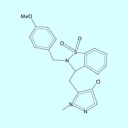 COc1ccc(CN2C(Cc3c(Cl)cnn3C)c3ccccc3S2(=O)=O)cc1